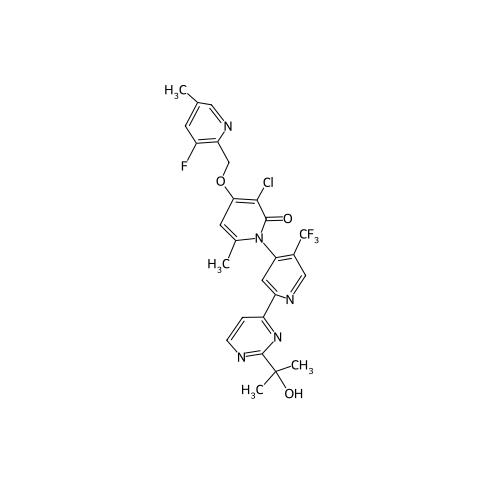 Cc1cnc(COc2cc(C)n(-c3cc(-c4ccnc(C(C)(C)O)n4)ncc3C(F)(F)F)c(=O)c2Cl)c(F)c1